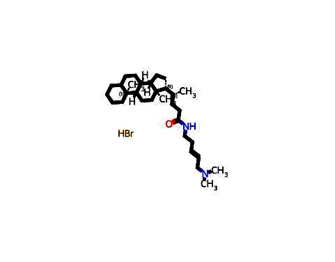 Br.C[C@H](CCC(=O)NCCC=CCN(C)C)[C@H]1CC[C@H]2[C@@H]3CCC4CCCC[C@]4(C)[C@H]3CC[C@]12C